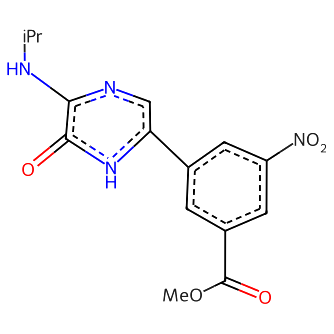 COC(=O)c1cc(-c2cnc(NC(C)C)c(=O)[nH]2)cc([N+](=O)[O-])c1